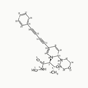 C[C@@H](O)[C@@H](C(=O)NO)N1C=C(C#CC#Cc2cc[c]cc2)C=CC1N1CCOCC1